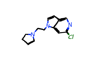 Clc1cc2c(ccn2CCN2CCCC2)cn1